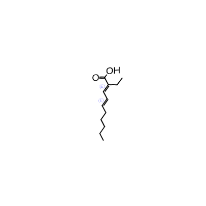 CCCCC/C=C/C=C(\CC)C(=O)O